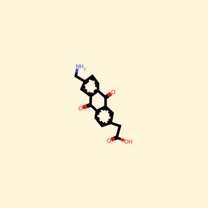 NCc1ccc2c(c1)C(=O)c1ccc(CC(=O)O)cc1C2=O